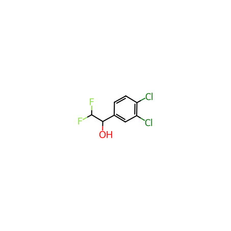 OC(c1ccc(Cl)c(Cl)c1)C(F)F